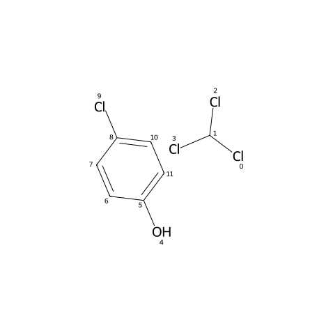 ClC(Cl)Cl.Oc1ccc(Cl)cc1